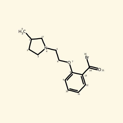 CC1CCN(CCOc2ccccc2C(=O)Br)C1